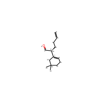 C=CCC[C@H](C=O)C1=CCCC(C)(C)C1